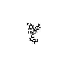 O=C(Cc1ccc(Cl)c(Cl)c1)Nc1nc2ccc(F)cn2c1-c1ccc(F)cc1